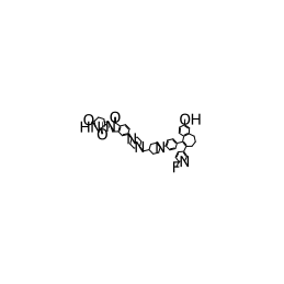 O=C1CC[C@@H](N2Cc3cc(N4CCN(CC5CCN(c6ccc(C7=C(c8ccc(F)nc8)CCCc8cc(O)ccc87)cc6)CC5)CC4)ccc3C2=O)C(=O)N1